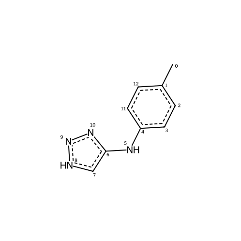 Cc1ccc(Nc2c[nH]nn2)cc1